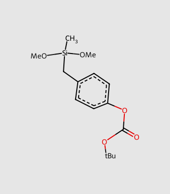 CO[Si](C)(Cc1ccc(OC(=O)OC(C)(C)C)cc1)OC